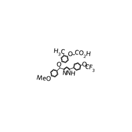 COc1ccc(C(Oc2ccc(OCC(=O)O)c(C)c2)c2cc(-c3ccc(OC(F)(F)F)cc3)[nH]n2)cc1